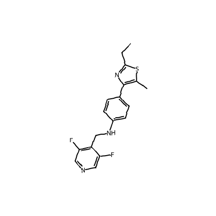 CCc1nc(-c2ccc(NCc3c(F)cncc3F)cc2)c(C)s1